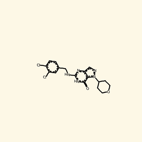 O=c1[nH]c(NCc2ccc(Cl)c(Cl)c2)nc2cnn(C3CCOCC3)c12